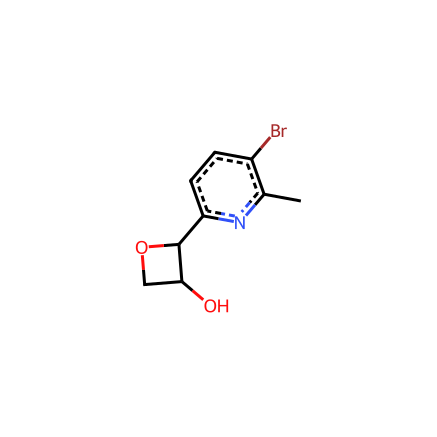 Cc1nc(C2OCC2O)ccc1Br